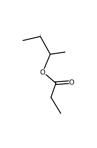 C[CH]C(C)OC(=O)CC